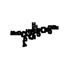 COc1ccc(-c2ccnc3c(C(=O)NC4CCN(C(=O)OC(C)(C)C)CC4)c(C)[nH]c23)c(OCC2CC2)c1